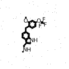 CNCc1c[nH]c2cc(Cc3ccc(OC(F)(F)F)cc3OC)ccc12